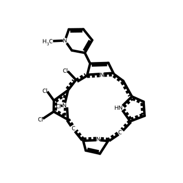 CN1C=CC=C(C2=Cc3cc4ccc(cc5nc(cc6c(Cl)c(Cl)c(c(Cl)c2n3)n6Cl)C=C5)[nH]4)C1